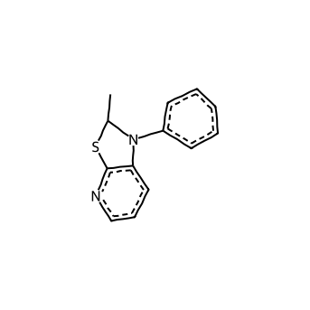 CC1Sc2ncccc2N1c1ccccc1